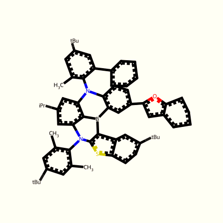 Cc1cc(C(C)(C)C)cc(C)c1N1c2cc(C(C)C)cc3c2B(c2cc(-c4cc5ccccc5o4)ccc2N3c2c(C)cc(C(C)(C)C)cc2-c2ccccc2)c2c1sc1ccc(C(C)(C)C)cc21